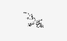 Br.CCc1ccc2c(n1)C(=N)N(CC(=O)c1ccc(CCC(=O)O)c(C(C)(C)C)c1)C2